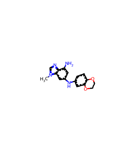 Cn1cnc2c(N)cc(Nc3ccc4c(c3)OCCO4)cc21